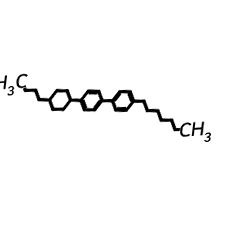 CCCCCCCc1ccc(-c2ccc(C3CCC(CCCC)CC3)cc2)cc1